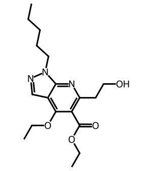 CCCCCn1ncc2c(OCC)c(C(=O)OCC)c(CCO)nc21